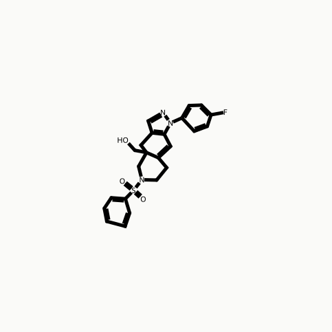 O=S(=O)(c1ccccc1)N1CCC2=Cc3c(cnn3-c3ccc(F)cc3)CC2(CO)C1